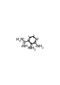 NB(N)c1ccnc(N)c1N